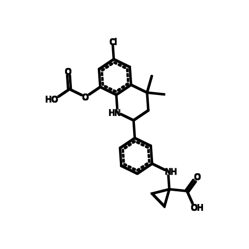 CC1(C)CC(c2cccc(NC3(C(=O)O)CC3)c2)Nc2c(OC(=O)O)cc(Cl)cc21